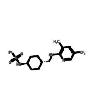 Cc1cc(C(F)(F)F)cnc1NC[C@H]1CC[C@H](NS(=O)(=O)C(C)C)CC1